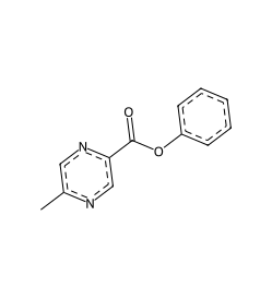 Cc1cnc(C(=O)Oc2ccccc2)cn1